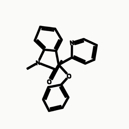 CN1C(=O)C(Oc2ccccc2)(c2ccccn2)c2ccccc21